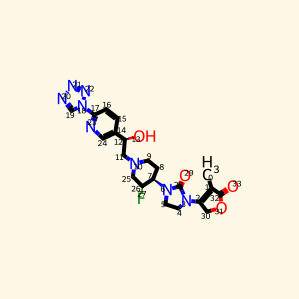 CC1=C(N2CCN([C@@H]3CCN(C[C@H](O)c4ccc(-n5cnnn5)nc4)C[C@H]3F)C2=O)COC1=O